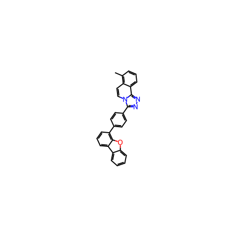 Cc1cccc2c1ccn1c(-c3ccc(-c4cccc5c4oc4ccccc45)cc3)nnc21